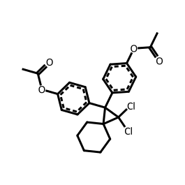 CC(=O)Oc1ccc(C2(c3ccc(OC(C)=O)cc3)C(Cl)(Cl)C23CCCCC3)cc1